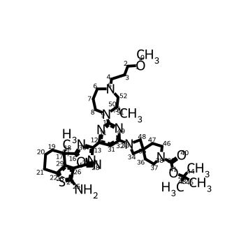 COCCCN1CCCN(c2nc(-c3noc([C@@]4(C)CCCc5sc(N)c(C#N)c54)n3)cc(N3CC4(CCN(C(=O)OC(C)(C)C)CC4)C3)n2)[C@@H](C)C1